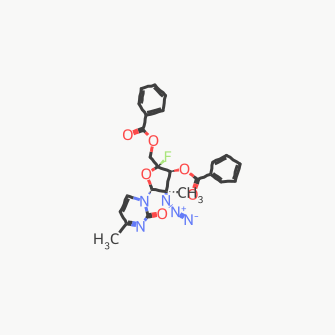 Cc1ccn([C@@H]2O[C@](F)(COC(=O)c3ccccc3)[C@@H](OC(=O)c3ccccc3)[C@@]2(C)N=[N+]=[N-])c(=O)n1